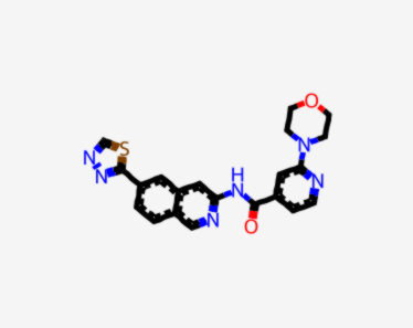 O=C(Nc1cc2cc(-c3nncs3)ccc2cn1)c1ccnc(N2CCOCC2)c1